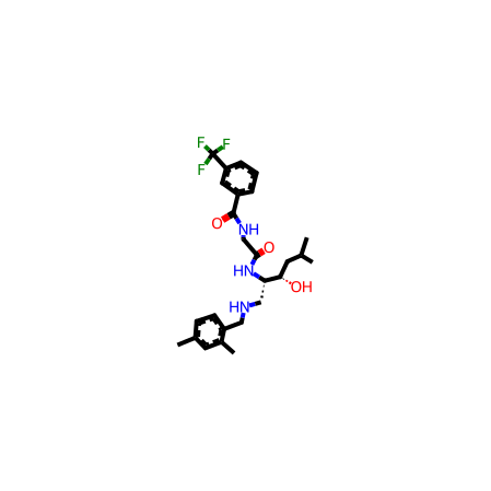 Cc1ccc(CNC[C@H](NC(=O)CNC(=O)c2cccc(C(F)(F)F)c2)[C@@H](O)CC(C)C)c(C)c1